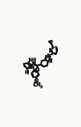 COc1ccc(CN2[C@H]3CC[C@@H]2[C@H](NC(=O)C2CCc4nn(-c5cccc(C6CC6)n5)cc4C2)C3)cc1